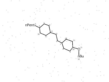 CCCCCC1CCC(CCC2CCC(OCCCC)CC2)CC1